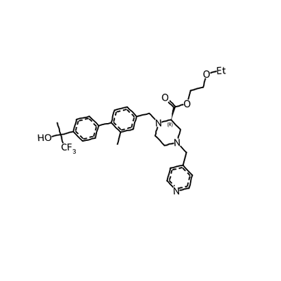 CCOCCOC(=O)[C@H]1CN(Cc2ccncc2)CCN1Cc1ccc(-c2ccc(C(C)(O)C(F)(F)F)cc2)c(C)c1